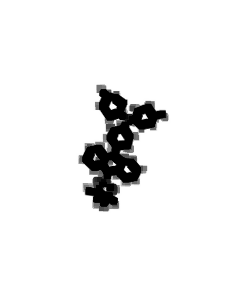 Cc1ccc(N(c2ccc(C)cc2)c2ccc(-c3c4ccccc4c(B4OC(C)(C)C(C)(C)O4)c4ccccc34)cc2)cc1